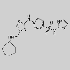 O=S(=O)(Nc1nccs1)c1ccc(Nc2nc(CNC3CCCCCC3)cs2)cc1